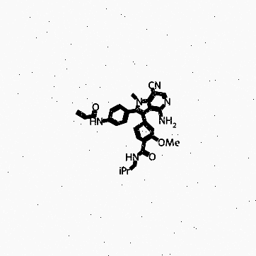 C=CC(=O)Nc1ccc(-c2c(-c3ccc(C(=O)NCC(C)C)c(OC)c3)c3c(N)ncc(C#N)c3n2C)cc1